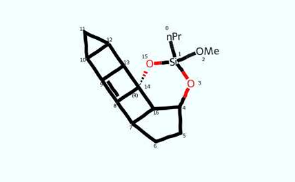 CCC[Si]1(OC)OC2CCC3C4=C5C6CC6C5[C@@]4(O1)C23